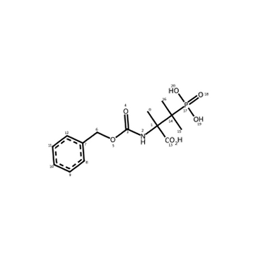 CC(NC(=O)OCc1ccccc1)(C(=O)O)C(C)(C)P(=O)(O)O